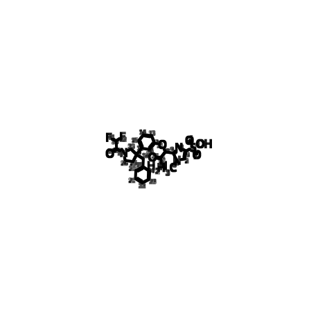 Cn1cc(S(=O)(=O)O)nc1C(Oc1cccc(C2(Cc3ccccc3)CCN(C(=O)C(F)F)C2)c1)C(N)=O